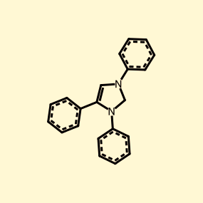 C1=C(c2ccccc2)N(c2ccccc2)CN1c1ccccc1